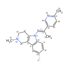 C/C(=C\n1c2c(c3cc(F)ccc31)CN(C)CC2)c1ccc(C)nc1